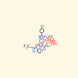 O=C(NCCC(F)(F)F)c1cccnc1-n1nc(Cn2nc(-c3ccc(Cl)cc3)n(C[C@H](O)C(F)(F)F)c2=O)nc1C(=O)N1CCS(O)(O)CC1